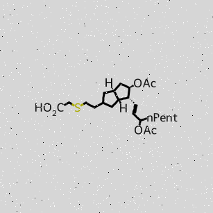 CCCCCC(C=C[C@@H]1[C@@H]2CC(CCSCC(=O)O)C[C@H]2C[C@H]1OC(C)=O)OC(C)=O